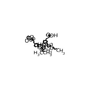 CCCCOC(=O)CN(CCN(CC(=O)OC(C)(C)C)Cc1cc(CCC(=O)ON2C(=O)CCC2=O)ccc1O)Cc1cc(CCC(=O)O)ccc1O